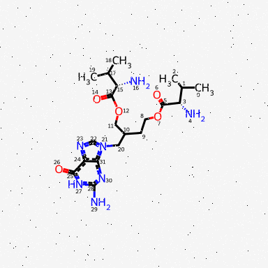 CC(C)[C@H](N)C(=O)OCCC(COC(=O)[C@@H](N)C(C)C)Cn1cnc2c(=O)[nH]c(N)nc21